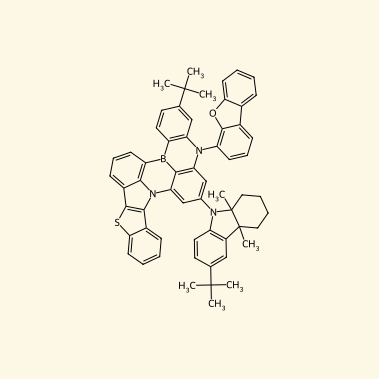 CC(C)(C)c1ccc2c(c1)N(c1cccc3c1oc1ccccc13)c1cc(N3c4ccc(C(C)(C)C)cc4C4(C)CCCCC34C)cc3c1B2c1cccc2c4sc5ccccc5c4n-3c12